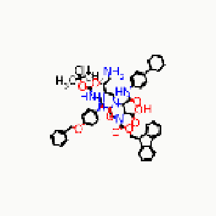 CC(C)(C)OC(=O)NCCCCN(C(=O)OCC1c2ccccc2-c2ccccc21)C(C(=O)O)C(C(=O)Nc1ccc(C2CCCCC2)cc1)N(CCCCN)C(=O)Nc1ccc(OCc2ccccc2)cc1